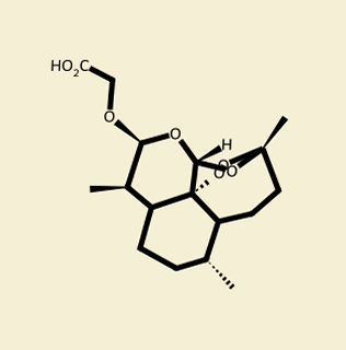 C[C@@H]1CCC2[C@@H](C)[C@@H](OCC(=O)O)O[C@@H]3O[C@@]4(C)CCC1[C@@]23OO4